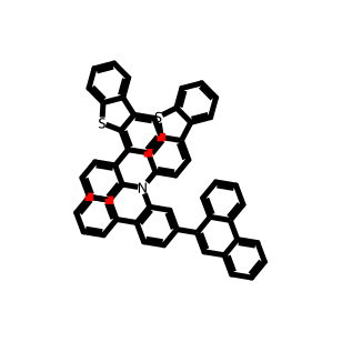 c1ccc(-c2ccc(-c3cc4ccccc4c4ccccc34)cc2N(c2ccc3c(c2)sc2ccccc23)c2ccccc2-c2cccc3c2sc2ccccc23)cc1